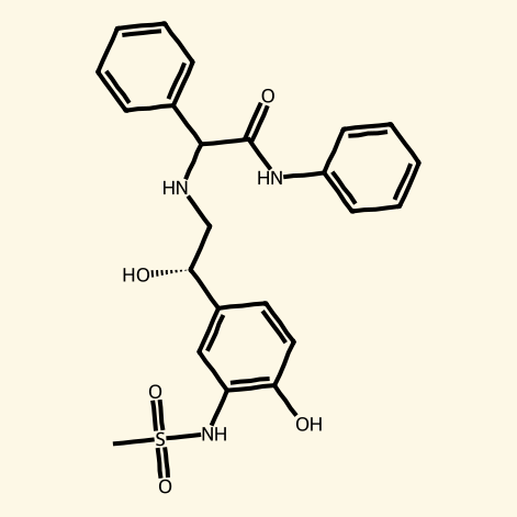 CS(=O)(=O)Nc1cc([C@H](O)CNC(C(=O)Nc2ccccc2)c2ccccc2)ccc1O